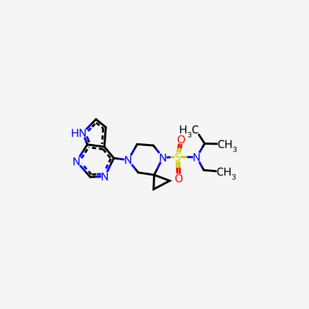 CCN(C(C)C)S(=O)(=O)N1CCN(c2ncnc3[nH]ccc23)CC12CC2